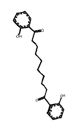 O=C(CCCCCCCCC(=O)c1ccccc1O)c1ccccc1O